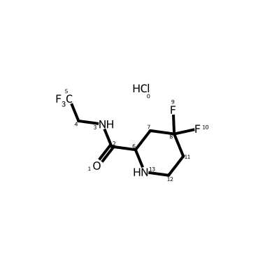 Cl.O=C(NCC(F)(F)F)C1CC(F)(F)CCN1